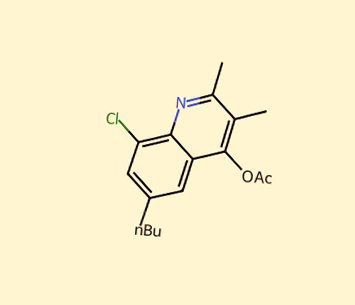 CCCCc1cc(Cl)c2nc(C)c(C)c(OC(C)=O)c2c1